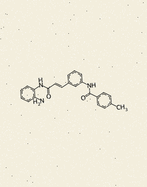 Cc1ccc(C(=O)Nc2cccc(/C=C/C(=O)Nc3ccccc3N)c2)cc1